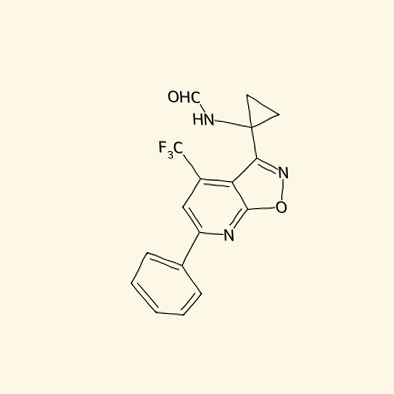 O=CNC1(c2noc3nc(-c4ccccc4)cc(C(F)(F)F)c23)CC1